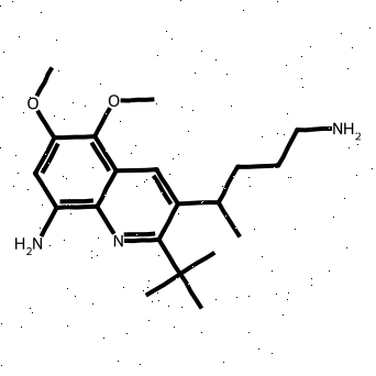 COc1cc(N)c2nc(C(C)(C)C)c(C(C)CCCN)cc2c1OC